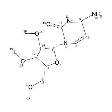 COC[C@H]1O[C@@H](n2ccc(N)nc2=O)C(OC)C1OI